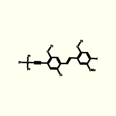 CCOc1cc(/C=C/c2cc(OC)c(I)cc2OCC)c(CC)cc1C#C[Si](C(C)C)(C(C)C)C(C)C